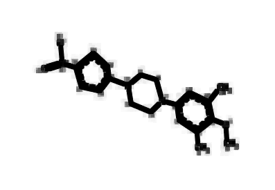 COc1c(C)cc(N2CCN(c3ccc([N+](=O)[O-])cc3)CC2)cc1C